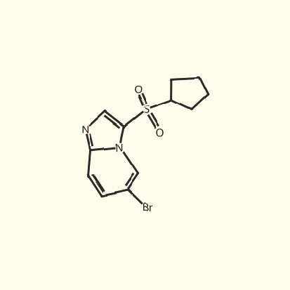 O=S(=O)(c1cnc2ccc(Br)cn12)C1CCCC1